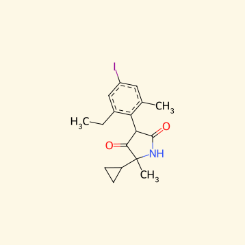 CCc1cc(I)cc(C)c1C1C(=O)NC(C)(C2CC2)C1=O